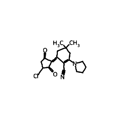 CC1(C)CC(N2CCCC2)=C(C#N)/C(=C2/C(=O)CC(Cl)C2=O)C1